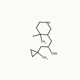 CC1(CN(C=O)CC2CNCCC2(C)F)CC1